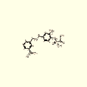 O=[N+]([O-])c1cccc(CSCc2ccc(OP(=O)(O)C(F)F)c(Br)c2)c1